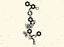 N#CCCC(CSc1ccccc1)Nc1ccc(S(=O)(=O)Nc2ncnc3cc(N4CCN(Cc5cc(Cl)ccc5-c5ccccc5)CC4)ccc23)cc1[N+](=O)[O-]